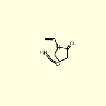 C=CN1CCCC1=O.N=C=O